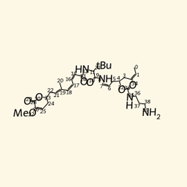 C/C=C\CC(C/C=C\NC(=O)C(NC(=O)\C=C/C=C\C(C)=C\CC1CC=C(OC)C(=O)O1)C(C)(C)C)OC(=O)NCCCN